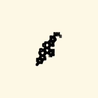 Cc1cc2sc3c(c2s1)COc1c2c(c4nsnc4c1-3)-c1sc3cc(N)sc3c1CO2